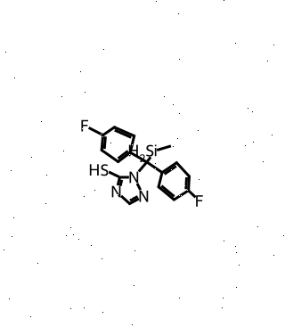 C[SiH2]C(c1ccc(F)cc1)(c1ccc(F)cc1)n1ncnc1S